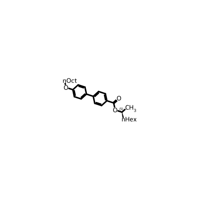 CCCCCCCCOc1ccc(-c2ccc(C(=O)O[C@@H](C)CCCCCC)cc2)cc1